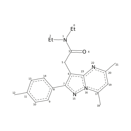 CCN(CC)C(=O)Cc1c(-c2ccc(C)cc2)nn2c(C)cc(C)nc12